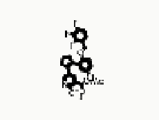 COC(=O)c1cc(C2=C(c3cc(Cl)ccc3OCc3ccc(F)c(F)c3F)CCC2)cnc1C(F)(F)F